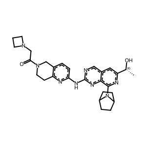 C[C@@H](O)c1cc2cnc(Nc3ccc4c(n3)CCN(C(=O)CN3CCC3)C4)nc2c(N2C3CCC2CC3)n1